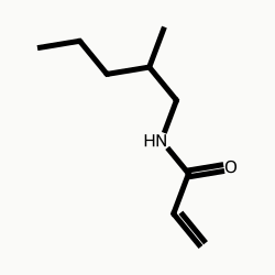 C=CC(=O)NCC(C)CCC